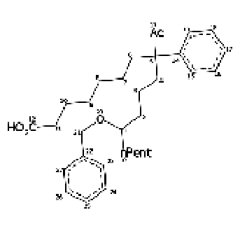 CCCCCC(CCCC(CCCCCCC(=O)O)(C(C)=O)c1ccccc1)OCc1ccccc1